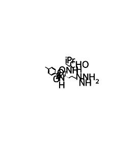 Cc1ccc(S(=O)(=O)N[C@@H](CCCNC(=N)N)C(=O)N[C@H](C=O)CC(C)C)cc1